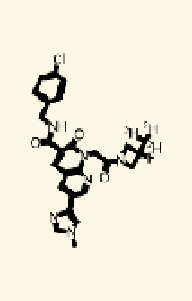 [2H]C([2H])([2H])C1(F)CN(C(=O)Cn2c(=O)c(C(=O)NCc3ccc(Cl)cc3)cc3cc(-c4cn(C)cn4)cnc32)C1